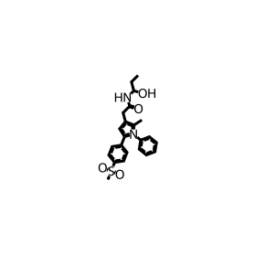 CCC(O)NC(=O)Cc1cc(-c2ccc(S(C)(=O)=O)cc2)n(-c2ccccc2)c1C